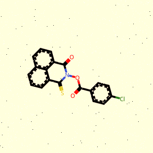 O=C(ON1C(=O)c2cccc3cccc(c23)C1=S)c1ccc(Cl)cc1